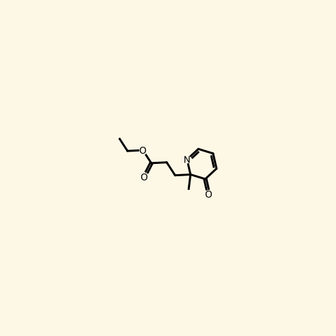 CCOC(=O)CCC1(C)N=CC=CC1=O